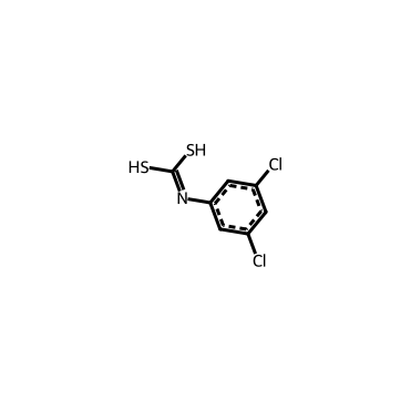 SC(S)=Nc1cc(Cl)cc(Cl)c1